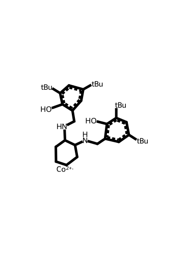 CC(C)(C)c1cc(CNC2CCCCC2NCc2cc(C(C)(C)C)cc(C(C)(C)C)c2O)c(O)c(C(C)(C)C)c1.[Co+2]